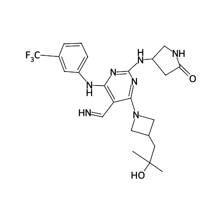 CC(C)(O)CC1CN(c2nc(NC3CNC(=O)C3)nc(Nc3cccc(C(F)(F)F)c3)c2C=N)C1